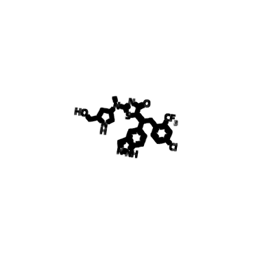 CN(C1=NC(=O)C(=C(Cc2ccc(Cl)cc2C(F)(F)F)c2ccc3[nH]ncc3c2)S1)C1CNC(CO)C1